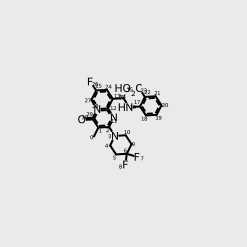 Cc1c(N2CCC(F)(F)CC2)nc2c([C@H](C)Nc3ccccc3C(=O)O)cc(F)cn2c1=O